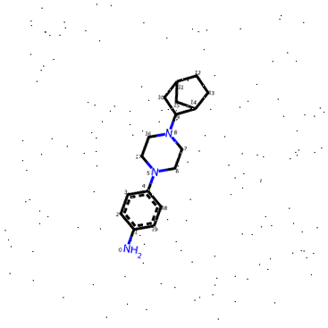 Nc1ccc(N2CCN(C3CC4CCC3C4)CC2)cc1